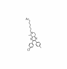 CC(=O)CCCCCCN1CCc2nc(-c3ccc(C)cc3)c(-c3ccc(Cl)cc3)nc2C1C